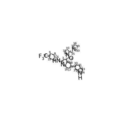 O=C(c1cc(NCc2ccc(C(F)(F)F)cc2)nc2ccc(-c3ccc4cc[nH]c4c3)cc12)N1CCC[C@H]1CN1CCCC1